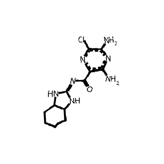 Nc1nc(N)c(C(=O)N=C2NC3CCCCC3N2)nc1Cl